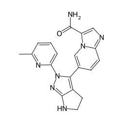 Cc1cccc(-n2nc3c(c2-c2ccc4ncc(C(N)=O)n4c2)CCN3)n1